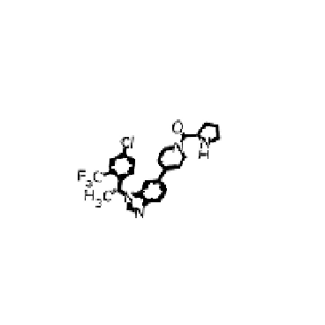 C[C@H](c1ccc(Cl)cc1C(F)(F)F)n1cnc2ccc(C3=CCN(C(=O)C4CCCN4)CC3)cc21